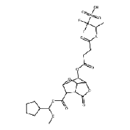 COC(OC(=O)C1C2OC3C(OC(=O)C31)C2OC(=O)CCC(=O)OC(C)C(F)(F)S(=O)(=O)O)C1CCCC1